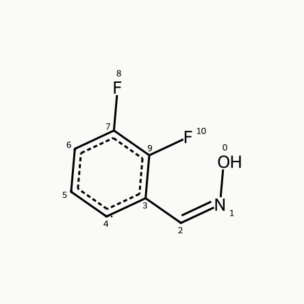 O/N=C\c1[c]ccc(F)c1F